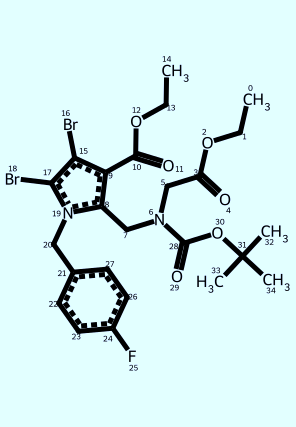 CCOC(=O)CN(Cc1c(C(=O)OCC)c(Br)c(Br)n1Cc1ccc(F)cc1)C(=O)OC(C)(C)C